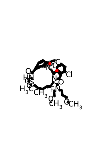 COCCCN(CCOC)C(=O)[C@H]1/C(F)=C/C[C@H](C)[C@@H](C)S(=O)(=O)NC(=O)c2ccc3c(c2)N2CCCCc4cc(Cl)cc(c4CO3)[C@]3(CCCN13)C2